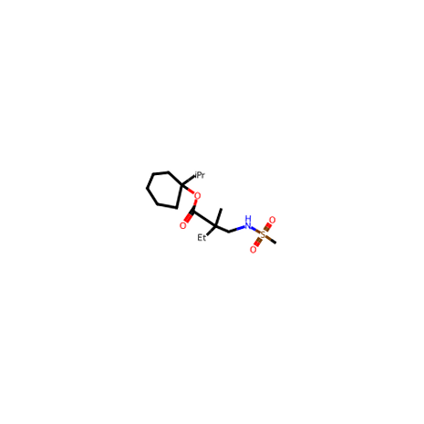 CCC(C)(CNS(C)(=O)=O)C(=O)OC1(C(C)C)CCCCC1